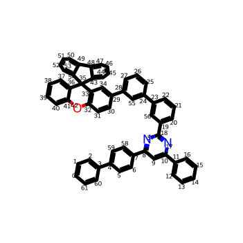 c1ccc(-c2ccc(-c3cc(-c4ccccc4)nc(-c4cccc(-c5cccc(-c6ccc7c(c6)C6(c8ccccc8O7)c7ccccc7-c7ccccc76)c5)c4)n3)cc2)cc1